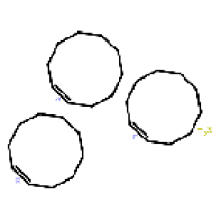 C1=C\CCCCCCCC/1.C1=C\CCCCCCCC/1.C1=C\CCCCCCCC/1.S